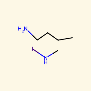 CCCCN.CNI